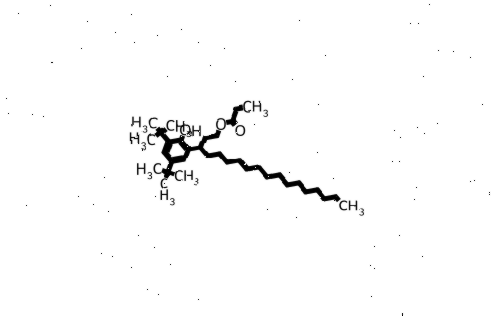 CCCCCCCCCCCCCCCC(CCOC(=O)CC)c1cc(C(C)(C)C)cc(C(C)(C)C)c1O